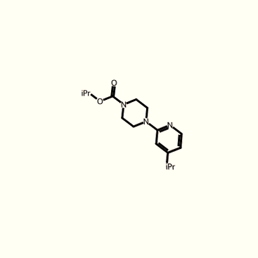 CC(C)OC(=O)N1CCN(c2cc(C(C)C)ccn2)CC1